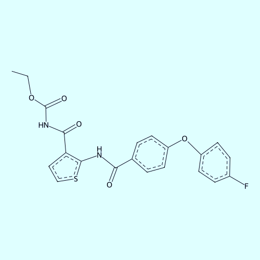 CCOC(=O)NC(=O)c1ccsc1NC(=O)c1ccc(Oc2ccc(F)cc2)cc1